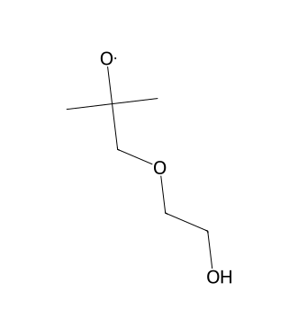 CC(C)([O])COCCO